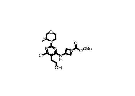 C[C@H]1COCCN1c1nc(Cl)c(CCO)c(NC2CN(C(=O)OC(C)(C)C)C2)n1